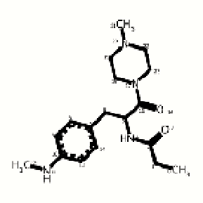 CCC(=O)NC(Cc1ccc(NC)cc1)C(=O)N1CCN(C)CC1